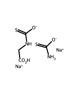 NC([O-])=S.O=C(O)CNC([O-])=S.[Na+].[Na+]